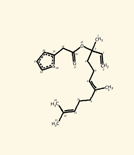 C=CC(C)(CC/C=C(\C)CCC=C(C)C)OC(=O)Cc1cccs1